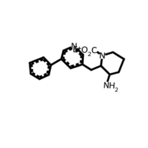 CCOC(=O)N1CCCC(N)C1Cc1cncc(-c2ccccc2)c1